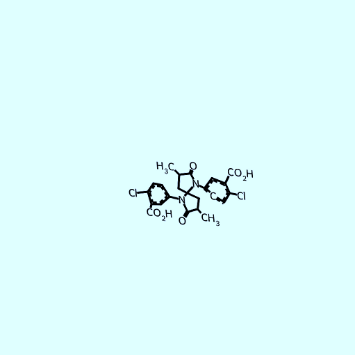 CC1CC2(CC(C)C(=O)N2c2ccc(Cl)c(C(=O)O)c2)N(c2ccc(Cl)c(C(=O)O)c2)C1=O